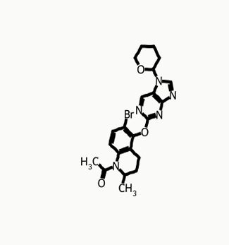 CC(=O)N1c2ccc(Br)c(Oc3ncc4c(ncn4C4CCCCO4)n3)c2CCC1C